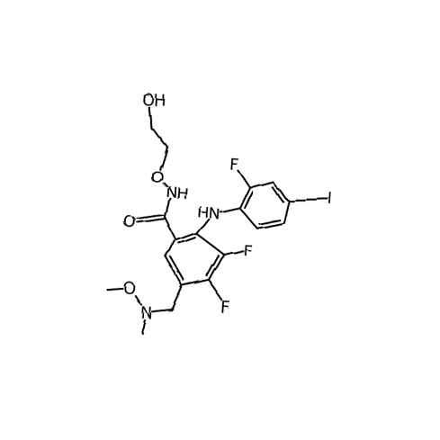 CON(C)Cc1cc(C(=O)NOCCO)c(Nc2ccc(I)cc2F)c(F)c1F